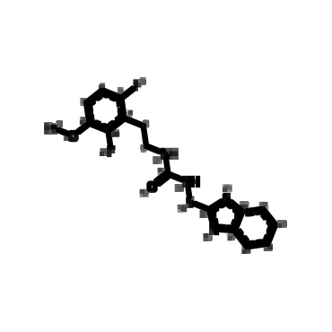 CCOc1ccc(F)c(CCNC(=O)NSc2nc3ccccc3s2)c1F